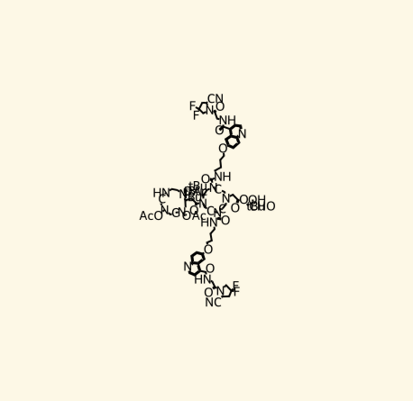 CC(=O)ON1CCNCCN(OC(C)=O)C(CC(=O)N2CCN(C(=O)NCCCCOc3ccc4nccc(C(=O)NCC(=O)N5CC(F)(F)C[C@H]5C#N)c4c3)CCN(CC(=O)OC(C)(C)C)CCN(C(=O)NCCCCOc3ccc4nccc(C(=O)NCC(=O)N5CC(F)(F)C[C@H]5C#N)c4c3)C(C(C)(C)C)C2(C(C)(C)C)C(C)(C)C)CN(OC(C)=O)CC1.O=CO